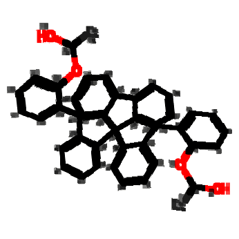 CCC(O)Oc1ccccc1Cc1ccccc1C1(c2ccccc2Cc2ccccc2OC(O)CC)c2ccccc2-c2ccccc21